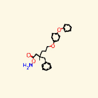 CC(CCCOc1ccc(Oc2ccccc2)cc1)(CC(=O)ON)Cc1ccccc1